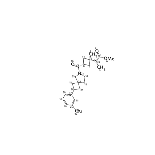 COC(=O)N(C)[C@]1(C)C[C@H](C(=O)N2CCC3(CC(c4cccc(C(C)(C)C)c4)C3)C2)C1